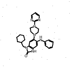 O=c1[nH]c2cc(Nc3ccccc3)c(N3CCN(c4ncccn4)CC3)cc2n1CC1CCCCC1